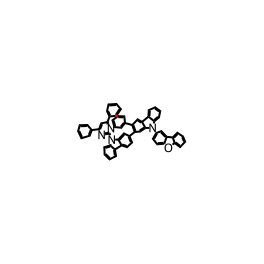 c1ccc(-c2cc(-c3ccccc3)nc(-n3c4ccccc4c4ccc(-c5cc6c(cc5-c5ccccc5)c5ccccc5n6-c5ccc6oc7ccccc7c6c5)cc43)n2)cc1